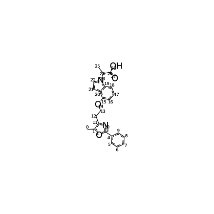 Cc1oc(-c2ccccc2)nc1CCOc1cccc2c1ccn2C(C)C(=O)O